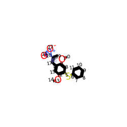 COc1cc(Sc2ccccc2)c(OC)cc1/C=C(\C)[N+](=O)[O-]